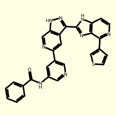 O=C(Nc1cncc(-c2cc3c(-c4nc5c(-c6ccsc6)nccc5[nH]4)n[nH]c3cn2)c1)c1ccccc1